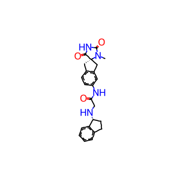 CN1C(=O)NC(=O)[C@@]12Cc1ccc(NC(=O)CN[C@@H]3CCc4ccccc43)cc1C2